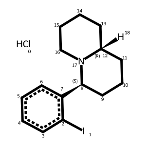 Cl.Ic1ccccc1[C@@H]1CCC[C@H]2CCCCN21